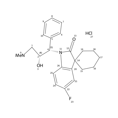 CNC[C@@H](O)[C@H](c1ccccc1)N1C(=O)C2(CCCCC2)c2cc(F)ccc21.Cl